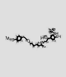 CSc1ccc(CCOCCCCCC(C)NCC(O)c2ccc(O)c(NS(C)(=O)=O)c2)cc1